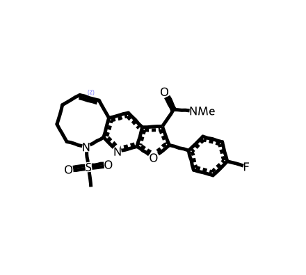 CNC(=O)c1c(-c2ccc(F)cc2)oc2nc3c(cc12)/C=C\CCCN3S(C)(=O)=O